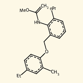 C=C(Nc1c(CCC)cccc1COc1ccc(CC)cc1C)OC